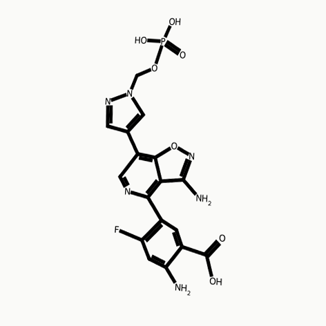 Nc1cc(F)c(-c2ncc(-c3cnn(COP(=O)(O)O)c3)c3onc(N)c23)cc1C(=O)O